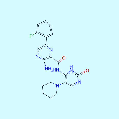 Nc1ncc(-c2ccccc2F)nc1C(=O)Nc1[nH]c(=O)ncc1N1CCCCC1